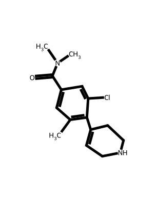 Cc1cc(C(=O)N(C)C)cc(Cl)c1C1=CCNCC1